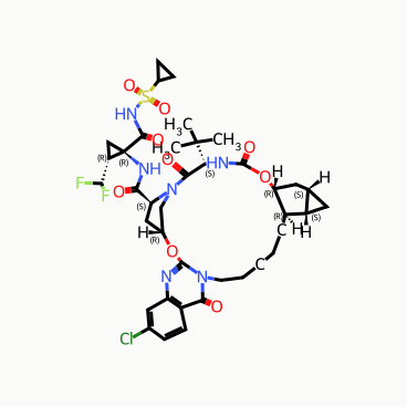 CC(C)(C)[C@@H]1NC(=O)O[C@@H]2C[C@@H]3C[C@@H]3[C@H]2CCCCCn2c(nc3cc(Cl)ccc3c2=O)O[C@@H]2C[C@@H](C(=O)N[C@]3(C(=O)NS(=O)(=O)C4CC4)C[C@H]3C(F)F)N(C2)C1=O